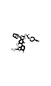 C[C@@H](CN1CCC(C#N)CC1)Oc1nc(N2CC3CCC(C2)N3)c2cc(Cl)c(-c3ccc(F)c4sc(N)nc34)c(F)c2n1